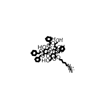 [N-]=[N+]=NCCCCCO[C@H]1OC(CO)[C@H](O[C@H]2OC(COCc3ccccc3)[C@H](O)C(OCc3ccccc3)C2OCc2ccccc2)C(O[C@@H]2O[C@@H]([C@H](O)CO)C(O)C2O)C1OCc1ccccc1